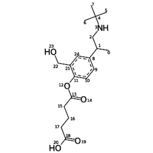 CC(CNC(C)(C)C)c1ccc(OC(=O)CCCC(=O)O)c(CO)c1